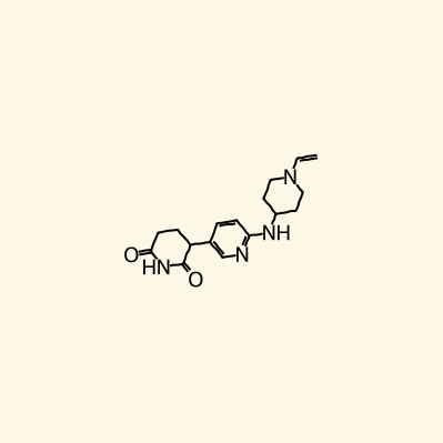 C=CN1CCC(Nc2ccc(C3CCC(=O)NC3=O)cn2)CC1